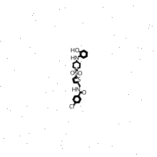 O=C(NCc1ccc(S(=O)(=O)N2CCC(Nc3ccccc3O)CC2)s1)c1ccc(Cl)cc1